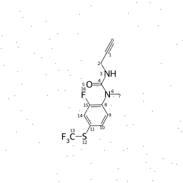 C#CCNC(=O)N(C)c1ccc(SC(F)(F)F)cc1F